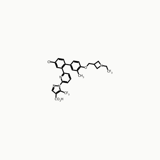 Cc1cc(-c2ccc(Cl)cc2-c2cccc(-n3ncc(C(=O)O)c3C(F)(F)F)n2)ccc1OCC1CN(CC(F)(F)F)C1